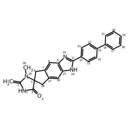 C=C1NC(=O)C2(Cc3cc4nc(-c5ccc(-c6ccccc6)cc5)[nH]c4cc3C2)N1C